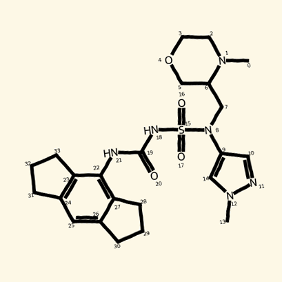 CN1CCOCC1CN(c1cnn(C)c1)S(=O)(=O)NC(=O)Nc1c2c(cc3c1CCC3)CCC2